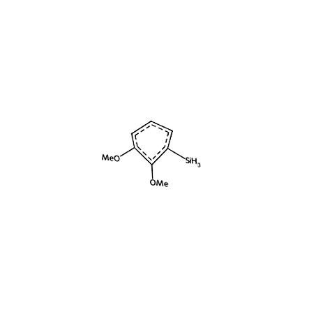 COc1cccc([SiH3])c1OC